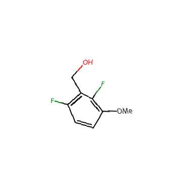 COc1ccc(F)c(CO)c1F